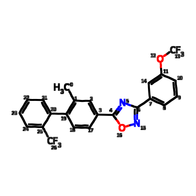 Cc1cc(-c2nc(-c3cccc(OC(F)(F)F)c3)no2)ccc1-c1ccccc1C(F)(F)F